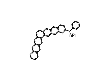 CCCC(c1[c]c2cc3cc4c(ccc5cc6cc7ccccc7cc6cc54)cc3cc2cc1)c1ccccc1